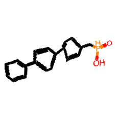 O=[PH](O)Cc1ccc(-c2ccc(-c3ccccc3)cc2)cc1